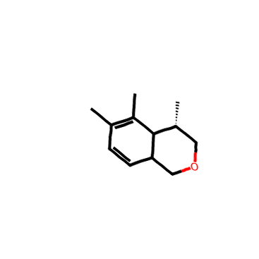 CC1=C(C)C2C(C=C1)COC[C@H]2C